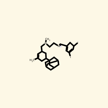 CC1=CC(CN(C)CC/N=C/C2=CC(I)=CC(I)C2)CC(C23CC4CC(CC(C4)C2)C3)C1